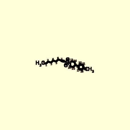 CCCCCCCC#CS(=O)(=O)N1CCC(c2ccc(C)cc2)CC1